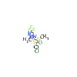 CCSc1c(-c2nc3cc(C(F)(F)F)nnc3n2C)sc(-c2ccc(Cl)cc2)c1Cl